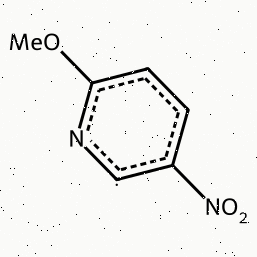 COc1ccc([N+](=O)[O-])[c]n1